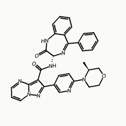 C[C@H]1COCCN1c1ccc(-c2nn3cccnc3c2C(=O)N[C@H]2N=C(c3ccccc3)c3ccccc3NC2=O)cn1